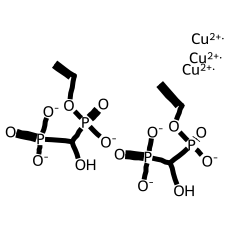 C=COP(=O)([O-])C(O)P(=O)([O-])[O-].C=COP(=O)([O-])C(O)P(=O)([O-])[O-].[Cu+2].[Cu+2].[Cu+2]